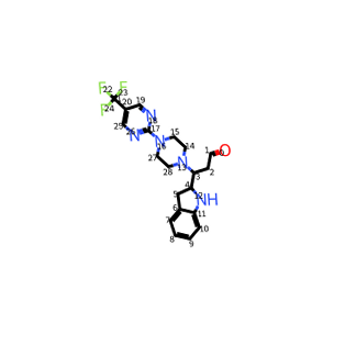 O=CCC(C1Cc2ccccc2N1)N1CCN(c2ncc(C(F)(F)F)cn2)CC1